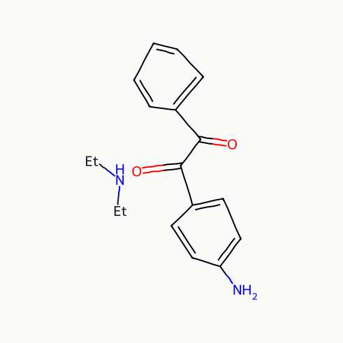 CCNCC.Nc1ccc(C(=O)C(=O)c2ccccc2)cc1